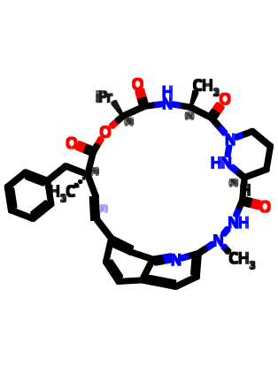 CC(C)[C@@H]1OC(=O)[C@](C)(Cc2ccccc2)/C=C/c2ccc3ccc(nc3c2)N(C)NC(=O)[C@@H]2CCCN(N2)C(=O)[C@H](C)NC1=O